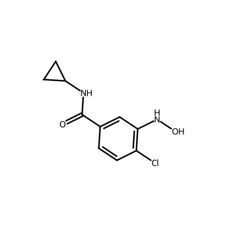 O=C(NC1CC1)c1ccc(Cl)c(NO)c1